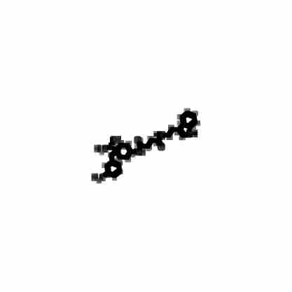 Cc1cccc(CC2(N(C)C)CCC(NC(=O)CCC(=O)NCCc3c[nH]c4ccccc34)CC2)c1